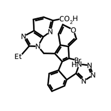 CCc1nc2ccc(C(=O)O)nc2n1Cc1c2ccocc-2c(Br)c1-c1ccccc1-c1nnn[nH]1